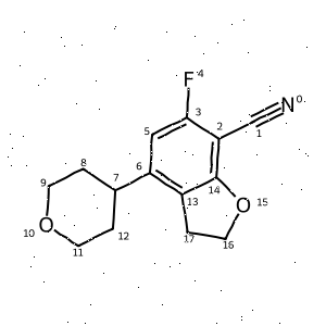 N#Cc1c(F)cc(C2CCOCC2)c2c1OCC2